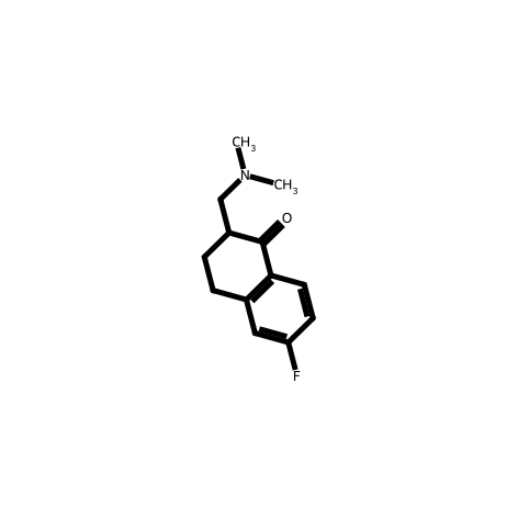 CN(C)CC1CCc2cc(F)ccc2C1=O